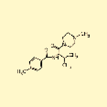 Cc1ccc(C(=O)NC(C(=O)N2CCN(C)CC2)C(C)C)cc1